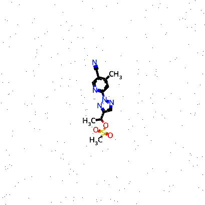 Cc1cc(-n2ncc(C(C)OS(C)(=O)=O)n2)ncc1C#N